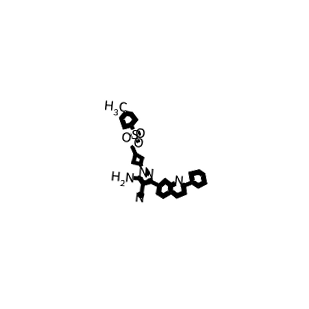 Cc1ccc(S(=O)(=O)OCC2CC(n3nc(-c4ccc5ccc(-c6ccccc6)nc5c4)c(C#N)c3N)C2)cc1